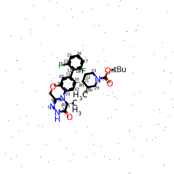 C[C@@H]1C(=O)NN=C2COc3cc(-c4c(F)cccc4F)c([C@@H]4CCN(C(=O)OC(C)(C)C)C[C@@H]4C)cc3N21